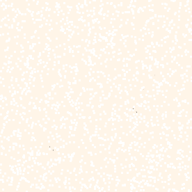 Cc1cccc(C(N)=O)c1Oc1cccnc1